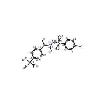 Cc1ccc(S(=O)(=O)/N=S(\C)C(C)c2ccc(C(F)(F)F)nc2)cc1